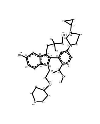 CO[C@@H](C)c1ncc([C@@H]2CCN(C3CC3)C2)cc1-c1c(CC(C)(C)CO)c2cc(Br)ccc2n1CCOC1CCOCC1